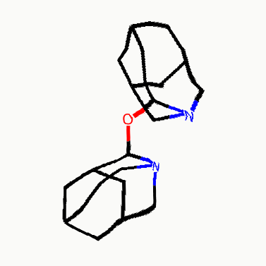 C1C2CC3CC1CN(C2)C3OC1C2CC3CC(C2)CN1C3